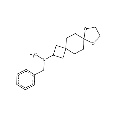 CN(Cc1ccccc1)C1CC2(CCC3(CC2)OCCO3)C1